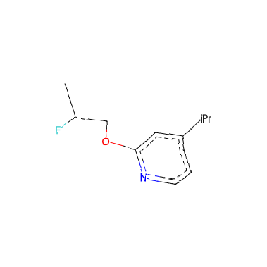 CC(F)COc1cc(C(C)C)ccn1